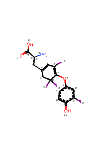 N[C@@H](CC1=CC(I)=C(Oc2ccc(O)c(I)c2)C(I)(I)C1)C(=O)O